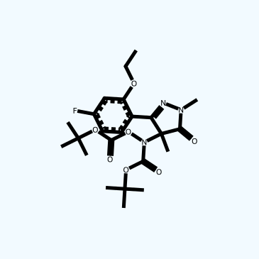 CCOc1cc(F)ccc1C1=NN(C)C(=O)C1(C)N(OC(=O)OC(C)(C)C)C(=O)OC(C)(C)C